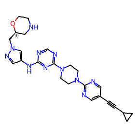 C(#CC1CC1)c1cnc(N2CCN(c3ncnc(Nc4cnn(C[C@@H]5CNCCO5)c4)n3)CC2)nc1